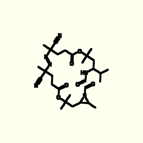 CC(C)C(CC(C)(C)OC(=O)CCC(C)(C#N)/N=N/C(C)(C#N)CCC(=O)OC(C)(C)CC1C(C)N1C=O)NC=O